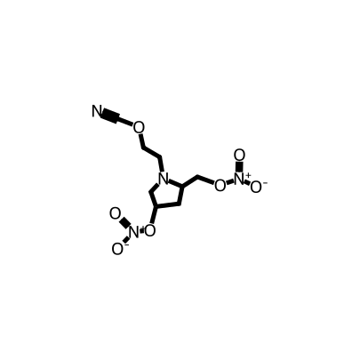 N#COCCN1CC(O[N+](=O)[O-])CC1CO[N+](=O)[O-]